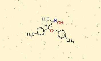 CC(C)=NO.Cc1ccc(COCc2ccc(C)cc2)cc1